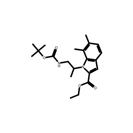 CCOC(=O)c1cc2ccc(C)c(C)c2n1C(C)CNC(=O)OC(C)(C)C